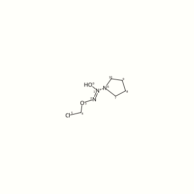 O/[N+](=N\OCCl)N1CCCC1